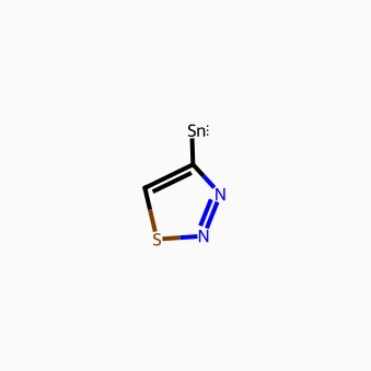 [Sn][c]1csnn1